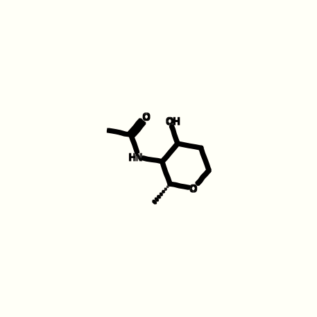 CC(=O)NC1C(O)CCO[C@@H]1C